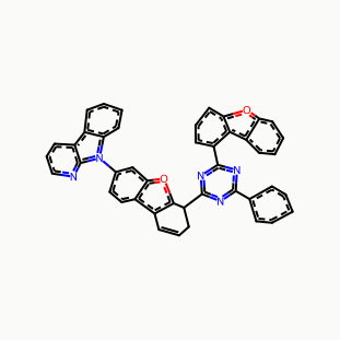 C1=Cc2c(oc3cc(-n4c5ccccc5c5cccnc54)ccc23)C(c2nc(-c3ccccc3)nc(-c3cccc4oc5ccccc5c34)n2)C1